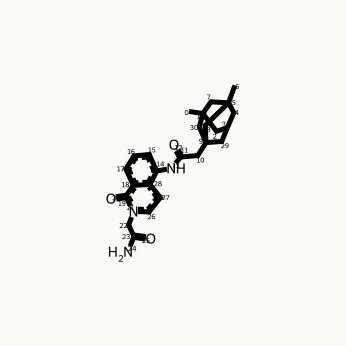 CC12CC3CC(C)(C1)CC(CC(=O)Nc1cccc4c(=O)n(CC(N)=O)ccc14)(C3)C2